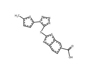 Cc1ccc(-n2nnnc2Sc2nc3ccc(C(=O)O)cc3s2)s1